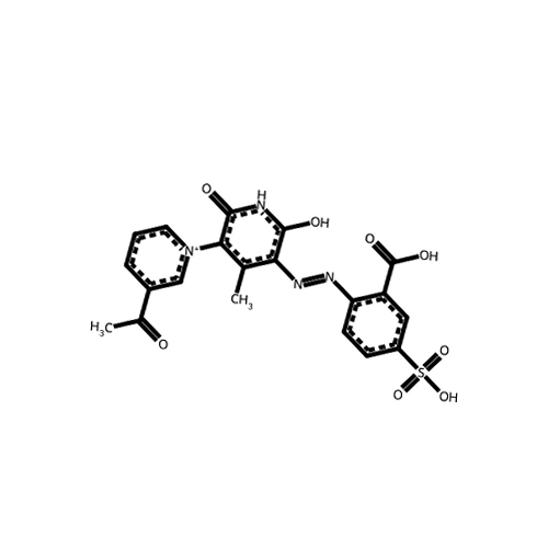 CC(=O)c1ccc[n+](-c2c(C)c(/N=N/c3ccc(S(=O)(=O)O)cc3C(=O)O)c(O)[nH]c2=O)c1